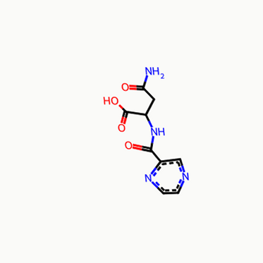 NC(=O)CC(NC(=O)c1cnccn1)C(=O)O